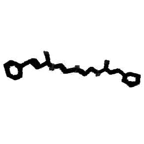 O=C(C=Cc1ccccc1)OCCSCCOC(=O)C=Cc1ccccc1